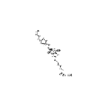 CCCCCCCC(=O)CCCCCC/C=C/[C@H](C(=O)NCCc1ccc(CCCC(C)C)cc1)[C@](C)(O)C(=O)O